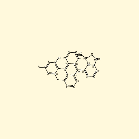 Cc1cc(C)c(-c2c3ccccc3c(-c3cccc4c3P(C(C)(C)C)CN4)c3ccccc23)c(C)c1